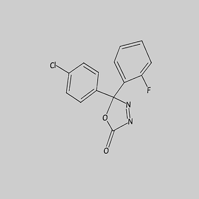 O=C1N=NC(c2ccc(Cl)cc2)(c2ccccc2F)O1